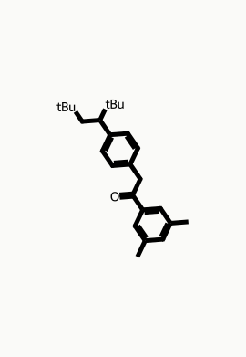 Cc1cc(C)cc(C(=O)Cc2ccc(C(CC(C)(C)C)C(C)(C)C)cc2)c1